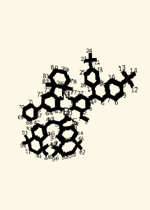 C=Cc1cc(C(Cc2ccc(C(C)(C)C)cc2)c2ccc(C(C)(C)C)cc2)cc2c1B(c1sc3cc4c(cc3c1Cc1ccc3c(c1)C(C)(C)CCC3(C)C)C(C)(C)CCC4(C)C)c1cc(-c3ccccc3)cc3c1N2C1(C)CCCCC31C